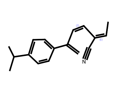 C=C(/C=C\C(C#N)=C/C)c1ccc(C(C)C)cc1